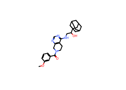 COc1cccc(C(=O)N2CCc3c(ncnc3NCC(O)C34CC5CC(CC(C5)C3)C4)C2)c1